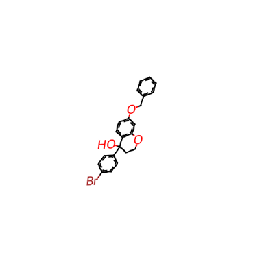 OC1(c2ccc(Br)cc2)CCOc2cc(OCc3ccccc3)ccc21